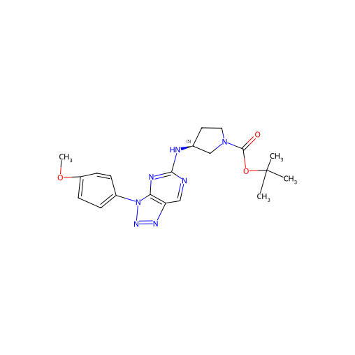 COc1ccc(-n2nnc3cnc(N[C@H]4CCN(C(=O)OC(C)(C)C)C4)nc32)cc1